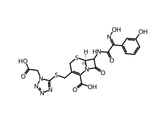 O=C(O)Cn1nnnc1SCC1=C(C(=O)O)N2C(=O)C(NC(=O)C(=NO)c3cccc(O)c3)[C@@H]2SC1